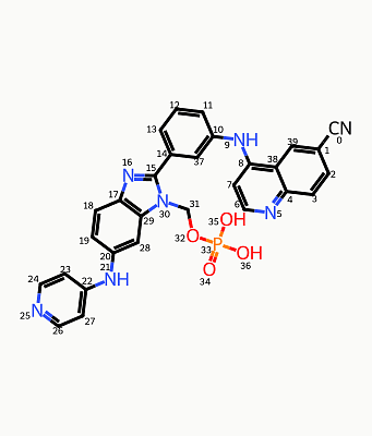 N#Cc1ccc2nccc(Nc3cccc(-c4nc5ccc(Nc6ccncc6)cc5n4COP(=O)(O)O)c3)c2c1